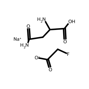 NC(=O)CC(N)C(=O)O.O=C([O-])CF.[Na+]